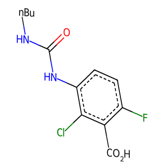 CCCCNC(=O)Nc1ccc(F)c(C(=O)O)c1Cl